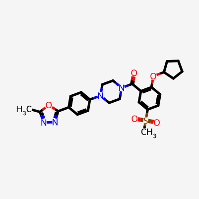 Cc1nnc(-c2ccc(N3CCN(C(=O)c4cc(S(C)(=O)=O)ccc4OC4CCCC4)CC3)cc2)o1